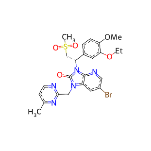 CCOc1cc([C@@H](CS(C)(=O)=O)n2c(=O)n(Cc3nccc(C)n3)c3cc(Br)cnc32)ccc1OC